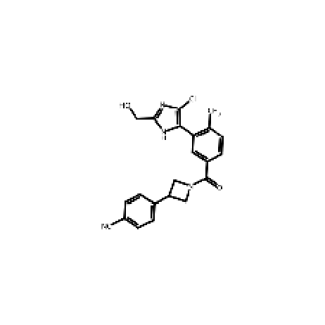 Cc1ccc(C(=O)N2CC(c3ccc(C#N)cc3)C2)cc1-c1[nH]c(CO)nc1Cl